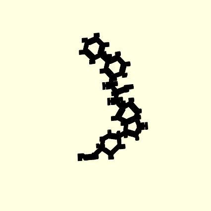 CCCC(C)N1CC=C(c2c[nH]c3ccc(NC(=S)Nc4cccc(-c5ccccc5)c4)cc23)CC1